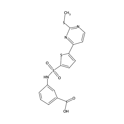 CSc1nccc(-c2ccc(S(=O)(=O)Nc3cccc(C(=O)O)c3)s2)n1